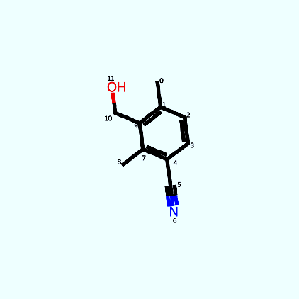 Cc1ccc(C#N)c(C)c1CO